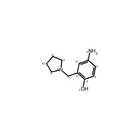 Nc1ccc(O)c(CN2CCCC2)c1